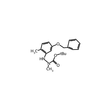 Cc1ccc(OCc2ccccc2)cc1NN(C)C(=O)OC(C)(C)C